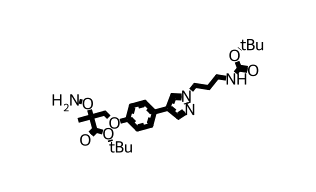 CC(C)(C)OC(=O)NCCCn1cc(-c2ccc(OCC(C)(ON)C(=O)OC(C)(C)C)cc2)cn1